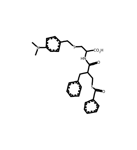 CN(C)c1ccc(CSCC(NC(=O)C(CSC(=O)c2ccccc2)Cc2ccccc2)C(=O)O)cc1